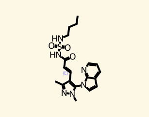 CCCCNS(=O)(=O)NC(=O)/C=C/c1c(C)nn(C)c1-n1ccc2cccnc21